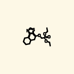 CCOP(=O)(COC1=c2scnc2=C2CCCCC2C1)OCC